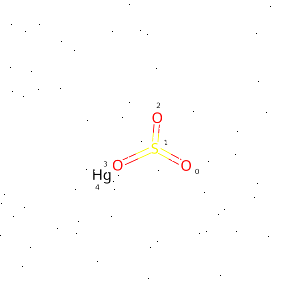 O=S(=O)=O.[Hg]